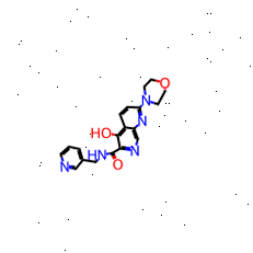 O=C(NCc1cccnc1)c1ncc2nc(N3CCOCC3)ccc2c1O